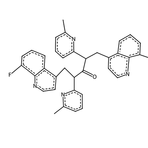 Cc1cccc(C(Cc2ccnc3c(F)cccc23)C(=O)C(Cc2ccnc3c(F)cccc23)c2cccc(C)n2)n1